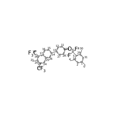 Cc1cc(C)c(C(F)(F)Oc2ccc(-c3ccc4c(C(F)(F)F)c(C)c(C(F)(F)F)cc4c3)cc2)c(C)c1